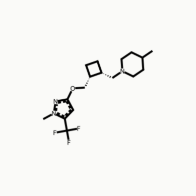 CC1CCN(C[C@H]2CC[C@H]2COc2cc(C(F)(F)F)n(C)n2)CC1